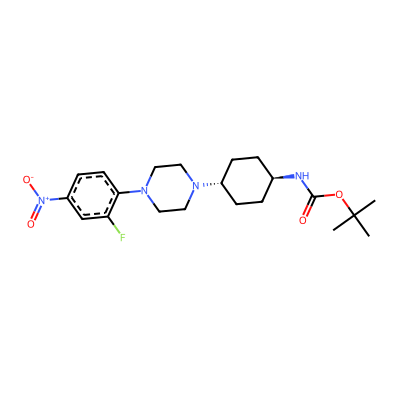 CC(C)(C)OC(=O)N[C@H]1CC[C@H](N2CCN(c3ccc([N+](=O)[O-])cc3F)CC2)CC1